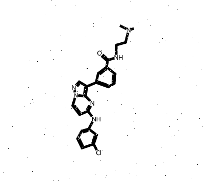 CN(C)CCNC(=O)c1cccc(-c2cnn3ccc(Nc4cccc(Cl)c4)nc23)c1